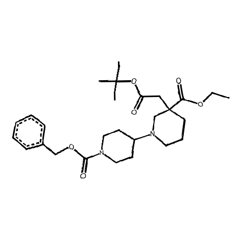 CCOC(=O)C1(CC(=O)OC(C)(C)C)CCCN(C2CCN(C(=O)OCc3ccccc3)CC2)C1